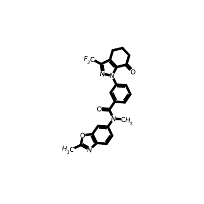 Cc1nc2ccc(N(C)C(=O)c3cccc(-n4nc(C(F)(F)F)c5c4C(=O)CCC5)c3)cc2o1